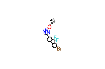 C[Si](C)(C)CCOCn1ncc(-c2ccc3c(c2)C(F)(F)c2cc(Br)ccc2-3)n1